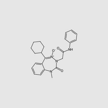 CN1C(=O)N(CC(=O)Nc2ccccc2)[N+]([O-])=C(C2CCCCC2)c2ccccc21